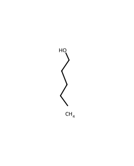 C.CCCCCO